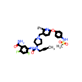 CC#CCN(C(=O)Nc1cc(C(N)=O)c(F)cc1F)C1CCN(Cc2ccc(Oc3ccc(NS(C)(=O)=O)cc3)nc2C(C)C)CC1